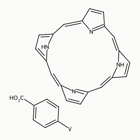 C1=Cc2cc3ccc(cc4nc(cc5ccc(cc1n2)[nH]5)C=C4)[nH]3.O=C(O)c1cc[c]([V])cc1